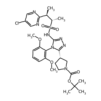 COc1cccc(OC)c1-n1c(NS(=O)(=O)[C@@H](C)[C@H](C)c2ncc(Cl)cn2)nnc1[C@H]1CCN(C(=O)OC(C)(C)C)C1